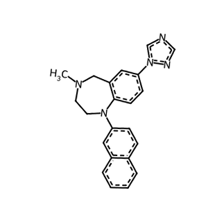 CN1CCN(c2ccc3ccccc3c2)c2ccc(-n3cncn3)cc2C1